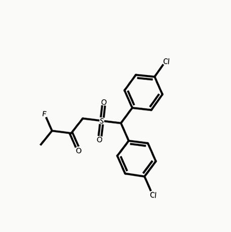 CC(F)C(=O)CS(=O)(=O)C(c1ccc(Cl)cc1)c1ccc(Cl)cc1